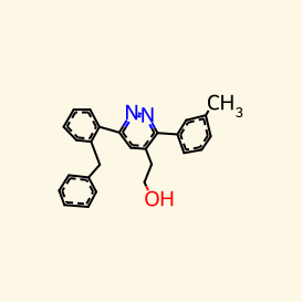 Cc1cccc(-c2nnc(-c3ccccc3Cc3ccccc3)cc2CCO)c1